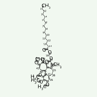 CCCCCCCCCCCCCCCC(=O)OCOC(=O)N(C)[C@H]1CCc2cc(OC)c(OC)c(OC)c2-c2ccc(OC)c(=O)cc21